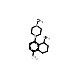 Cc1ccc(N2CCN(C)CC2)c2c1CCCC2N